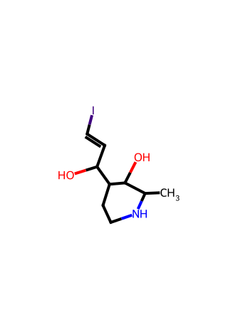 CC1NCCC(C(O)/C=C/I)C1O